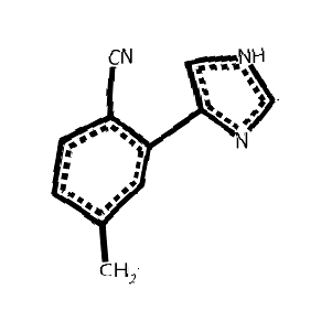 [CH2]c1ccc(C#N)c(-c2c[nH][c]n2)c1